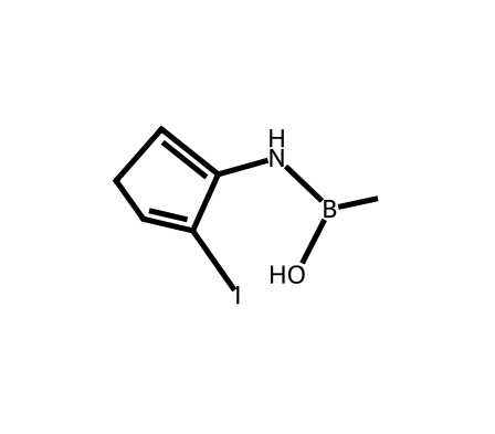 CB(O)NC1=CCC=C1I